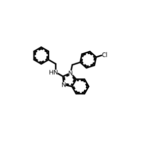 Clc1ccc(Cn2c(NCc3ccccc3)nc3ccccc32)cc1